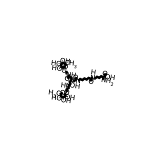 C[C@@H]1O[C@@H](OCCNC(=O)CN(CC(=O)NCCCCCC(=O)NCCCCC(N)C(=O)O)CC(=O)NCCO[C@@H]2O[C@@H](C)[C@@H](O)[C@@H](O)[C@@H]2O)[C@@H](O)[C@H](O)[C@@H]1O